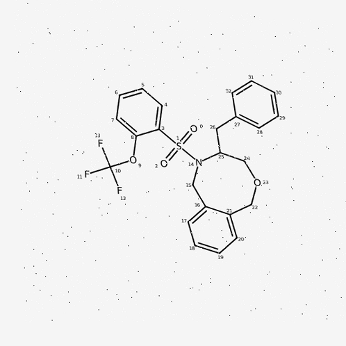 O=S(=O)(c1ccccc1OC(F)(F)F)N1Cc2ccccc2COCC1Cc1ccccc1